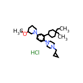 CCC1(CC)CCC(c2cc(N3CCCC(OC)C3)ccc2N2CCN(CC3CC3)CC2)CC1.Cl